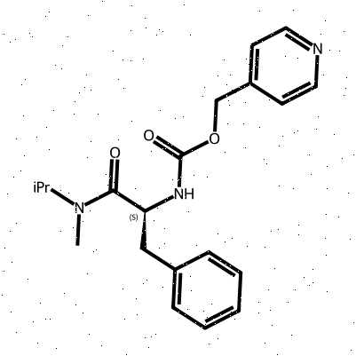 CC(C)N(C)C(=O)[C@H](Cc1ccccc1)NC(=O)OCc1ccncc1